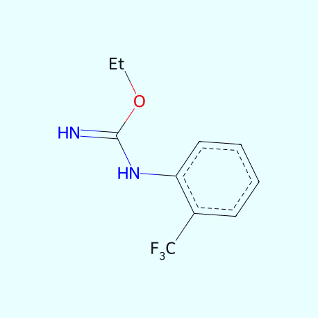 CCOC(=N)Nc1ccccc1C(F)(F)F